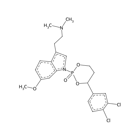 COc1ccc2c(CCN(C)C)cn(P3(=O)OCCC(c4ccc(Cl)c(Cl)c4)O3)c2c1